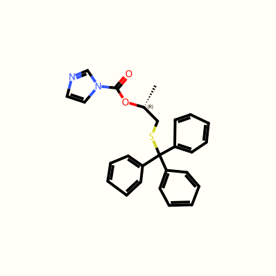 C[C@H](CSC(c1ccccc1)(c1ccccc1)c1ccccc1)OC(=O)n1ccnc1